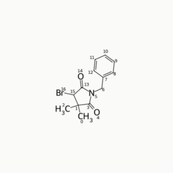 CC1(C)C(=O)N(Cc2ccccc2)C(=O)C1Br